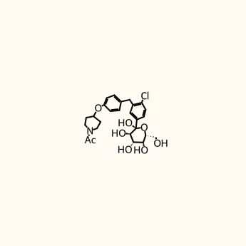 CC(=O)N1CCC(Oc2ccc(Cc3cc([C@]4(O)O[C@H](CO)[C@@H](O)[C@H](O)[C@H]4O)ccc3Cl)cc2)CC1